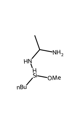 CCCC[SiH](NC(C)N)OC